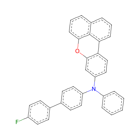 Fc1ccc(-c2ccc(N(c3ccccc3)c3ccc4c(c3)Oc3cccc5cccc-4c35)cc2)cc1